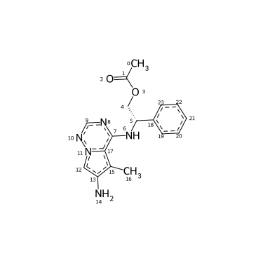 CC(=O)OC[C@@H](Nc1ncnn2cc(N)c(C)c12)c1ccccc1